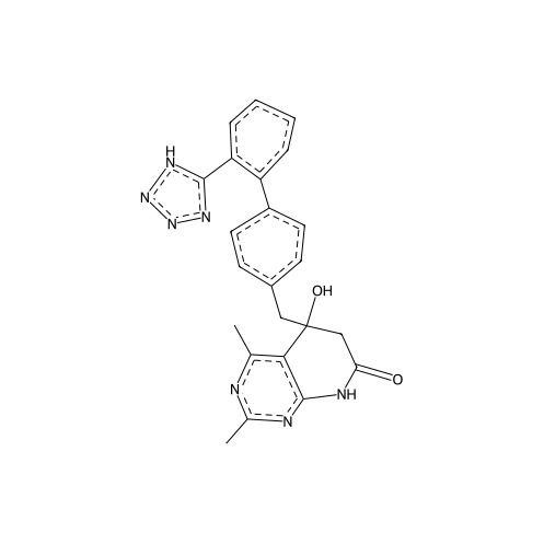 Cc1nc(C)c2c(n1)NC(=O)CC2(O)Cc1ccc(-c2ccccc2-c2nnn[nH]2)cc1